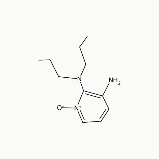 CCCN(CCC)c1c(N)ccc[n+]1[O-]